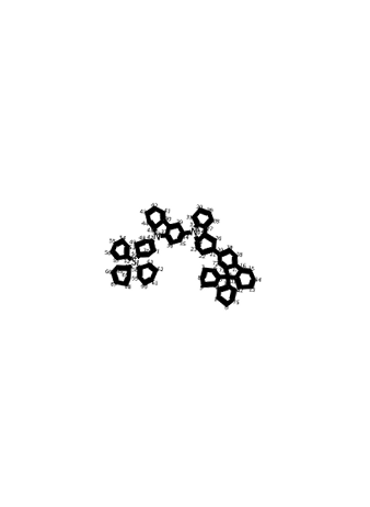 c1ccc(C2(c3ccccc3)c3ccccc3-c3ccc(-c4ccc5c(c4)c4ccccc4n5-c4ccc5c(c4)c4ccccc4n5-c4ccc([Si](c5ccccc5)(c5ccccc5)c5ccccc5)cc4)cc32)cc1